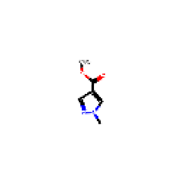 Cn1cc(C(=O)OC=O)cn1